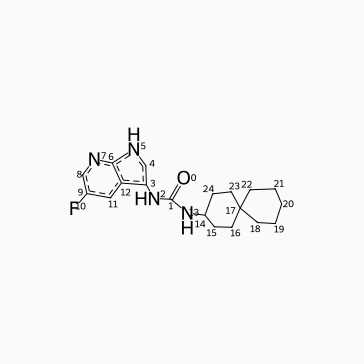 O=C(Nc1c[nH]c2ncc(F)cc12)NC1CCC2(CCCCC2)CC1